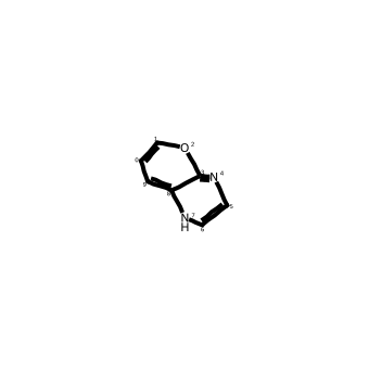 C1=COC2=NC=CNC2=C1